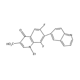 CCn1cc(C(=O)O)c(=O)c2cc(F)c(-c3ccc4ncccc4c3)c(F)c21